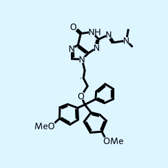 COc1ccc(C(OC[CH]Cn2cnc3c(=O)[nH]c(N=CN(C)C)nc32)(c2ccccc2)c2ccc(OC)cc2)cc1